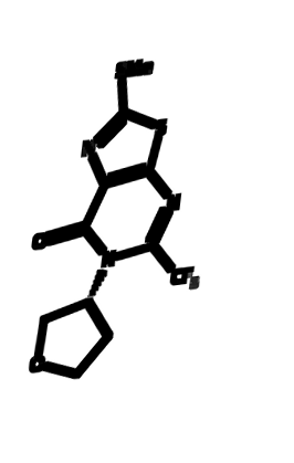 CSc1nc2c(=O)n([C@@H]3CCOC3)c(C(F)(F)F)nc2s1